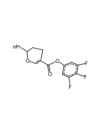 CCCC1CCC(C(=O)Oc2cc(F)c(F)c(F)c2)=CO1